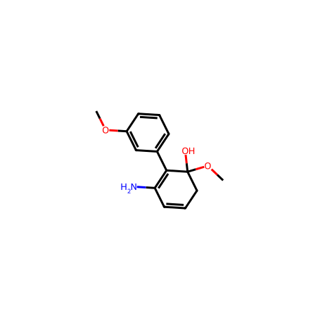 COc1cccc(C2=C(N)C=CCC2(O)OC)c1